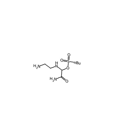 CCCCS(=O)(=O)OC(NCCN)C(N)=O